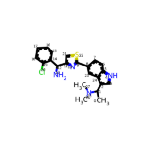 CC(c1c[nH]c2ccc(-c3nc(C(N)c4ccccc4Cl)cs3)cc12)N(C)C